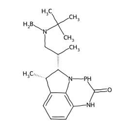 BN(CC(C)[C@H]1[C@@H](C)c2cccc3c2N1PC(=O)N3)C(C)(C)C